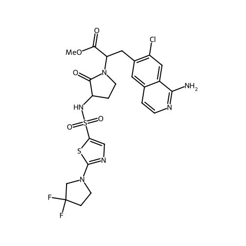 COC(=O)C(Cc1cc2ccnc(N)c2cc1Cl)N1CCC(NS(=O)(=O)c2cnc(N3CCC(F)(F)C3)s2)C1=O